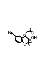 CC(=O)C[C@@H]1c2cc(C#N)ccc2OC(C)(C)[C@H]1O